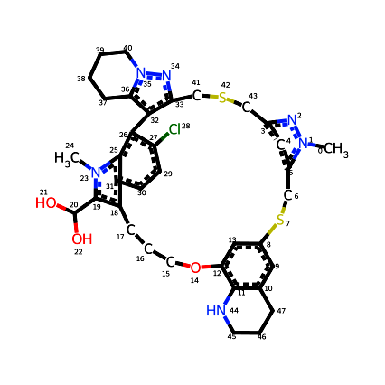 Cn1nc2cc1CSc1cc3c(c(c1)OCCCc1c(C(O)O)n(C)c4c(c(Cl)ccc14)-c1c(nn4c1CCCC4)CSC2)NCCC3